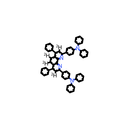 [2H]c1c(-c2ccc(N(c3ccccc3)c3ccccc3)cc2)nc2c(c([2H])c([2H])c3c(-c4ccccc4)c([2H])c(-c4ccc(N(c5ccccc5)c5ccccc5)cc4)nc32)c1-c1ccccc1